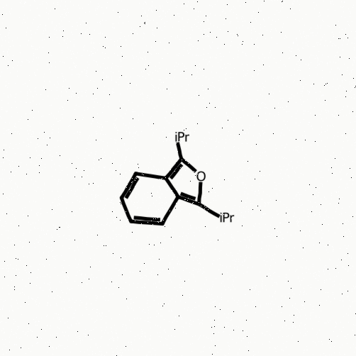 CC(C)c1oc(C(C)C)c2ccccc12